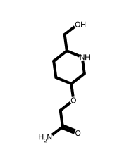 NC(=O)COC1CCC(CO)NC1